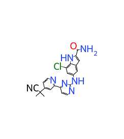 CC(C)(C#N)c1ccnc(-c2ccnc(Nc3cc(Cl)c4[nH]c(C(N)=O)cc4c3)n2)c1